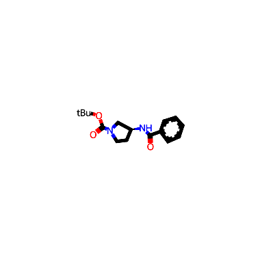 CC(C)(C)OC(=O)N1CC[C@H](NC(=O)c2ccccc2)C1